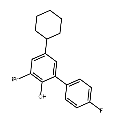 CC(C)c1cc(C2CCCCC2)cc(-c2ccc(F)cc2)c1O